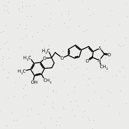 Cc1c(C)c2c(c(C)c1O)CCC(C)(COc1ccc(/C=C3/SC(=O)N(C)C3=O)cc1)O2